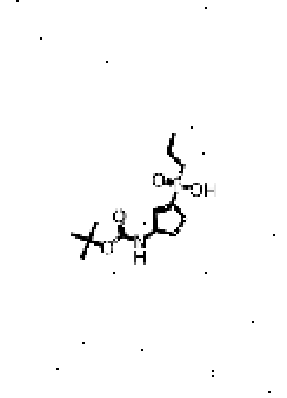 CCCP(=O)(O)C1=CC(NC(=O)OC(C)(C)C)CC1